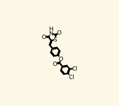 O=C1NC(=O)C(=Cc2ccc(OC(=O)c3ccc(Cl)c(Cl)c3)cc2)S1